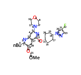 CCCCc1nc2cc(N3CCOCC3)nc(O[C@H]3CC[C@@H](n4cc(F)cn4)CC3)c2cc1OCOC